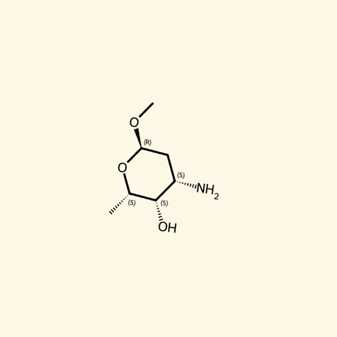 CO[C@H]1C[C@H](N)[C@H](O)[C@H](C)O1